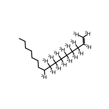 [2H]C([2H])=C([2H])C([2H])([2H])C([2H])([2H])C([2H])([2H])C([2H])([2H])C([2H])([2H])C([2H])([2H])C([2H])CCCCCCC